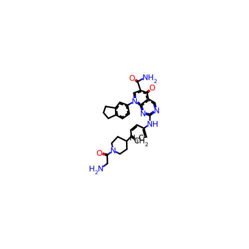 C=C(/C=C\C(=C/C)Nc1ncc2c(=O)c(C(N)=O)cn(-c3ccc4c(c3)CCC4)c2n1)C1CCN(C(=O)CN)CC1